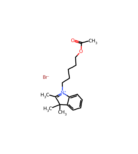 CC(=O)OCCCCC[N+]1=C(C)C(C)(C)c2ccccc21.[Br-]